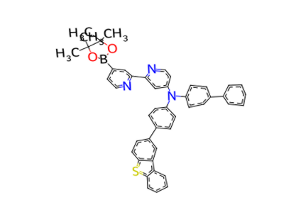 CC1(C)OB(c2ccnc(-c3cc(N(c4ccc(-c5ccccc5)cc4)c4ccc(-c5ccc6sc7ccccc7c6c5)cc4)ccn3)c2)OC1(C)C